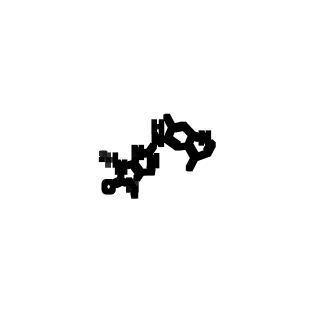 [2H]n1c(=O)n(C)c2cnc(Nc3cc4c(C)ccnc4cc3C)nc21